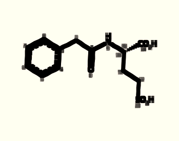 O=C(Cc1ccccc1)N[C@@H](CCS(=O)(=O)O)C(=O)O